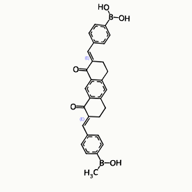 CB(O)c1ccc(/C=C2\CCc3cc4c(cc3C2=O)C(=O)/C(=C/c2ccc(B(O)O)cc2)CC4)cc1